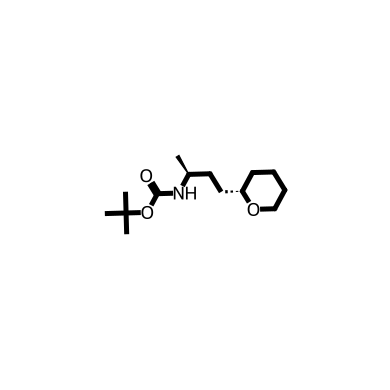 C[C@@H](CC[C@@H]1CCCCO1)NC(=O)OC(C)(C)C